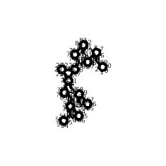 c1ccc(-n2c3ccccc3c3cc(N(c4ccc5c(c4)c4ccccc4c4cc6c(cc54)sc4c(N(c5ccc7c(c5)c5ccccc5n7-c5ccccc5)c5cccc7c5sc5ccccc57)cccc46)c4cccc5c4sc4ccccc45)ccc32)cc1